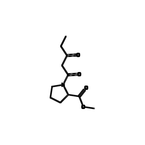 CCC(=O)CC(=O)N1CCCC1C(=O)OC